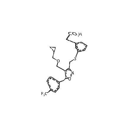 O=C(O)Cc1cccc(SCc2noc(-c3ccc(C(F)(F)F)cc3)c2COCC2CC2)c1